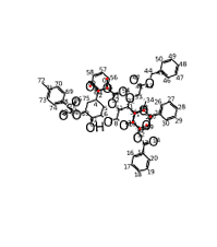 COC(=O)C1CC(OC2OC(COC(=O)c3ccccc3)C(OC(=O)c3ccccc3)C(O[C@@H](CC3CCCCC3)C(=O)OCc3ccccc3)C2OC(=O)c2ccccc2)C(O)C(OS(=O)(=O)c2ccc(C)cc2)C1